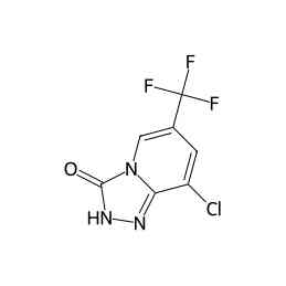 O=c1[nH]nc2c(Cl)cc(C(F)(F)F)cn12